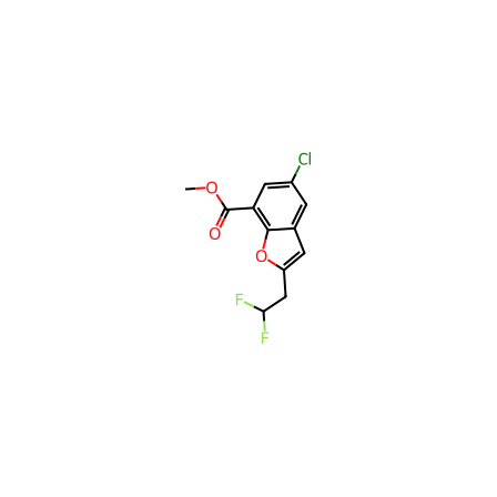 COC(=O)c1cc(Cl)cc2cc(CC(F)F)oc12